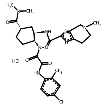 CN1CCc2nc(C(=O)N[C@@H]3C[C@@H](C(=O)N(C)C)CC[C@@H]3NC(=O)C(=O)Nc3ccc(Cl)cc3C(F)(F)F)sc2C1.Cl